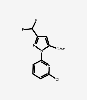 COc1cc(C(F)F)nn1-c1[c]ccc(Cl)n1